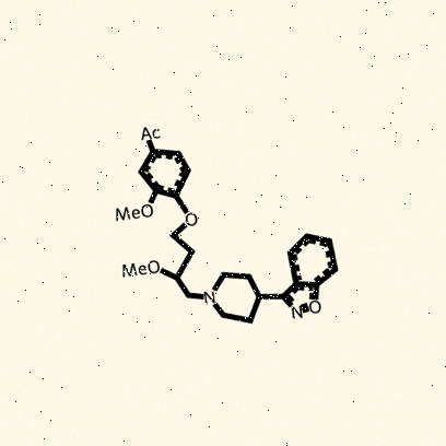 COc1cc(C(C)=O)ccc1OCCC(CN1CCC(c2noc3ccccc23)CC1)OC